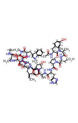 C/C=C(/C[C@H](NC(=O)C1C[C@@H](O)CN1C(=O)C(CCC)NC(=O)[C@H](Cc1c[nH]cn1)NC(=O)C1CCCN1C(=O)[C@H](CC(=O)O)NC(=O)C(C)N(C)C(=O)C(Cc1ccc(O)cc1)NC(=O)CC)C(=O)NC(CO)C(=O)NC(Cc1cn(C)c2ccccc12)C(=O)N(C)[C@@H](CCCC)C(=O)N(C)C(CCCC)C(=O)NC(C)C(=O)N[C@H](C)CC)c1ccccc1C